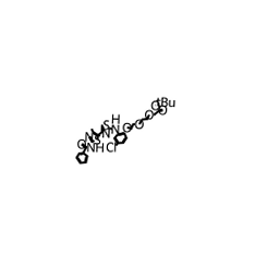 Cc1nc(NC(=O)c2ccccc2)sc1-c1csc(Nc2cc(Cl)ccc2OCCOCCOCC(=O)OC(C)(C)C)n1